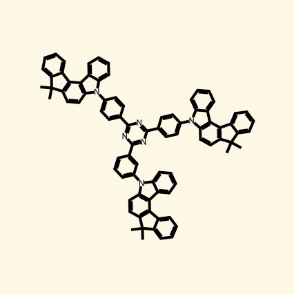 CC1(C)c2ccccc2-c2c1ccc1c2c2ccccc2n1-c1ccc(-c2nc(-c3ccc(-n4c5ccccc5c5c6c(ccc54)C(C)(C)c4ccccc4-6)cc3)nc(-c3cccc(-n4c5ccccc5c5c6c(ccc54)C(C)(C)c4ccccc4-6)c3)n2)cc1